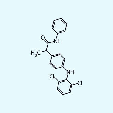 CC(C(=O)Nc1ccccc1)c1ccc(Nc2c(Cl)cccc2Cl)cc1